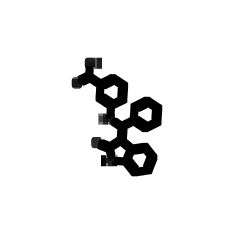 O=C1Nc2ccccc2/C1=C(/Nc1cccc(C(=O)O)c1)c1ccccc1